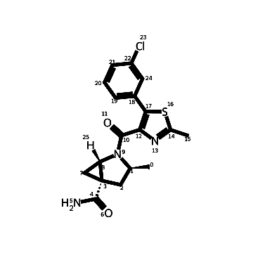 [CH2][C@H]1C[C@@]2(C(N)=O)C[C@@H]2N1C(=O)c1nc(C)sc1-c1cccc(Cl)c1